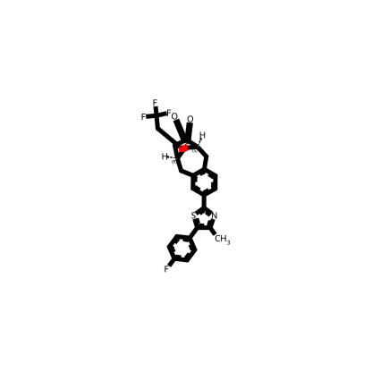 Cc1nc(-c2ccc3c(c2)C[C@H]2CC[C@@H](C3)[C@]23CN(CC(F)(F)F)S(=O)(=O)N3)sc1-c1ccc(F)cc1